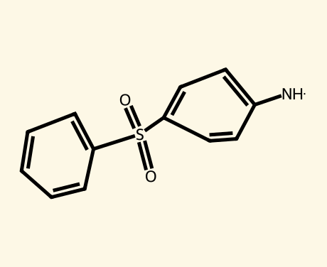 [NH]c1ccc(S(=O)(=O)c2ccccc2)cc1